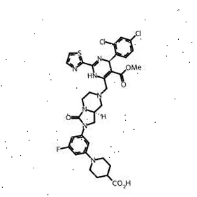 COC(=O)C1=C(CN2CCN3C(=O)N(c4cc(F)cc(N5CCC(C(=O)O)CC5)c4)C[C@@H]3C2)NC(c2nccs2)=N[C@H]1c1ccc(Cl)cc1Cl